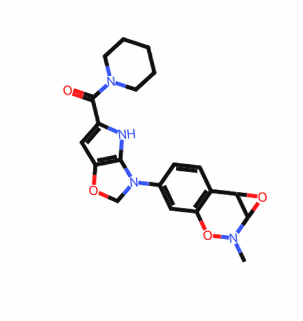 CN1Oc2cc(N3COc4cc(C(=O)N5CCCCC5)[nH]c43)ccc2C2OC21